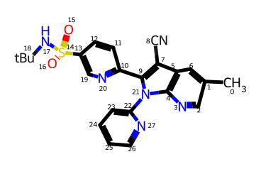 Cc1cnc2c(c1)c(C#N)c(-c1ccc(S(=O)(=O)NC(C)(C)C)cn1)n2-c1ccccn1